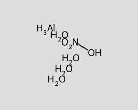 O.O.O.O.O=[N+]([O-])O.[AlH3]